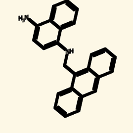 Nc1ccc(NCc2c3ccccc3cc3ccccc23)c2ccccc12